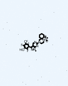 Cn1nc(-c2cc(C(F)(F)F)c(F)c(O)c2F)c2cnc(N3CCN(S(C)(=O)=O)C4(CCCCC4)C3)nc21